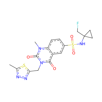 Cc1nnc(Cn2c(=O)c3cc(S(=O)(=O)NC4(CF)CC4)ccc3n(C)c2=O)s1